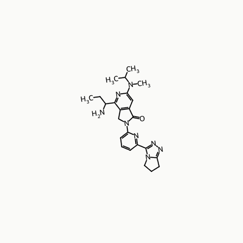 CCC(N)c1nc(N(C)C(C)C)cc2c1CN(c1cccc(-c3nnc4n3CCC4)n1)C2=O